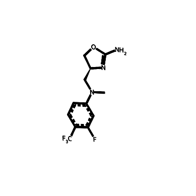 CN(C[C@H]1COC(N)=N1)c1ccc(C(F)(F)F)c(F)c1